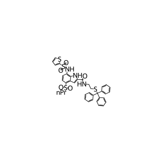 CCCS(=O)(=O)c1ccc(NS(=O)(=O)c2cccs2)c2[nH]c(C(=O)NCCSC(c3ccccc3)(c3ccccc3)c3ccccc3)cc12